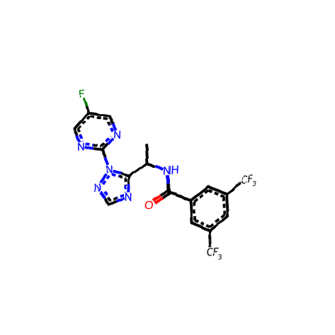 CC(NC(=O)c1cc(C(F)(F)F)cc(C(F)(F)F)c1)c1ncnn1-c1ncc(F)cn1